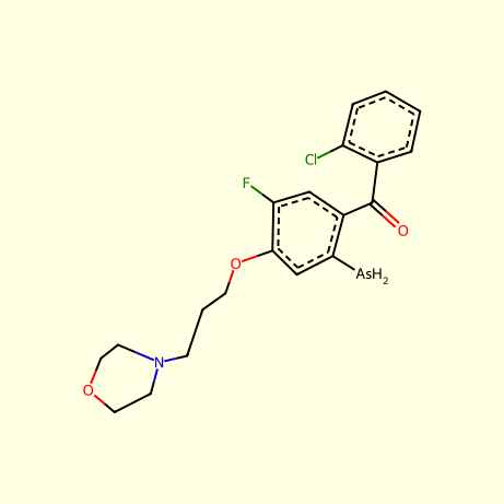 O=C(c1ccccc1Cl)c1cc(F)c(OCCCN2CCOCC2)cc1[AsH2]